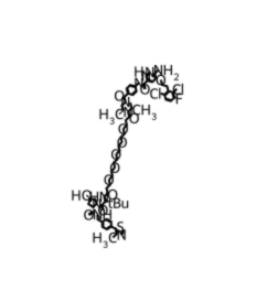 Cc1ncsc1-c1ccc(CNC(=O)[C@@H]2C[C@@H](O)CN2C(=O)[C@@H](NC(=O)CCOCCOCCOCCOCCOCCC(=O)N2[C@H](C)CN(C(=O)c3ccc(NC(=O)c4cc(OCCc5c(Cl)ccc(F)c5Cl)c(N)nn4)cc3)C[C@@H]2C)C(C)(C)C)cc1